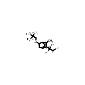 CC1C2CC(CC2OCC(O)(C(F)(F)F)C(F)(F)F)C1C(F)(F)CF